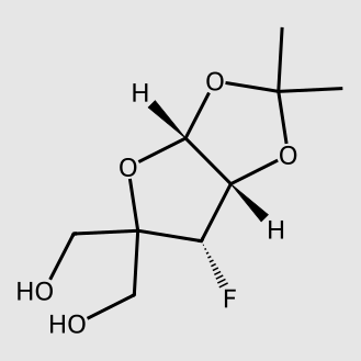 CC1(C)O[C@H]2OC(CO)(CO)[C@@H](F)[C@H]2O1